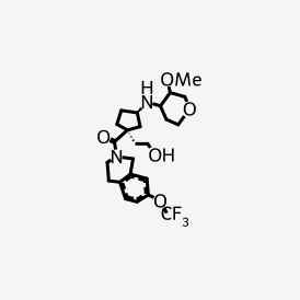 COC1COCCC1N[C@@H]1CC[C@](CCO)(C(=O)N2CCc3ccc(OC(F)(F)F)cc3C2)C1